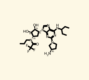 CCCN(C(=O)C(F)(F)F)[C@H]1C[C@@H](n2cnc3c(NC(CC)CC)nc(N4CC[C@@H](N)C4)nc32)[C@H](O)[C@@H]1O